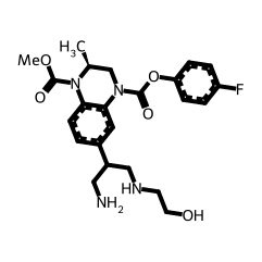 COC(=O)N1c2ccc(C(CN)CNCCO)cc2N(C(=O)Oc2ccc(F)cc2)C[C@@H]1C